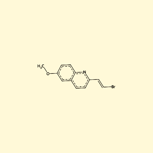 COc1ccc2nc(C=CBr)ccc2c1